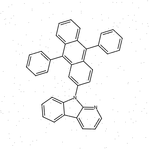 c1ccc(-c2c3ccccc3c(-c3ccccc3)c3cc(-n4c5ccccc5c5cccnc54)ccc23)cc1